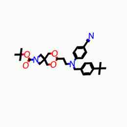 CC(C)(C)OC(=O)N1CC2(COC(CCN(Cc3ccc(C(C)(C)C)cc3)c3ccc(C#N)cc3)OC2)C1